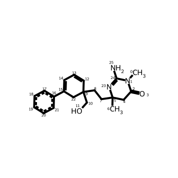 CN1C(=O)CC(C)(CCC2(CO)C=CC=C(c3ccccc3)C2)N=C1N